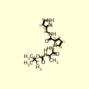 CC(NC(=O)OC(C)(C)C)C(=O)Nn1cccc1C(=O)NCc1cc[nH]n1